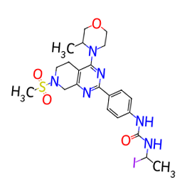 CC(I)NC(=O)Nc1ccc(-c2nc3c(c(N4CCOCC4C)n2)CCN(S(C)(=O)=O)C3)cc1